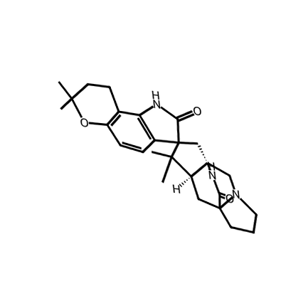 CC1(C)CCc2c(ccc3c2NC(=O)C32C[C@@]34CN5CCCC5(C[C@H]3C2(C)C)C(=O)N4)O1